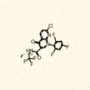 CC[C@H](NC(=O)c1cn(-c2c(F)cc(F)cc2F)c2nc(Cl)ccc2c1=O)C(F)(F)F